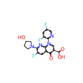 O=C(O)c1cn(-c2ncc(F)cc2F)c2nc(N3CC[C@H](O)C3)c(F)cc2c1=O